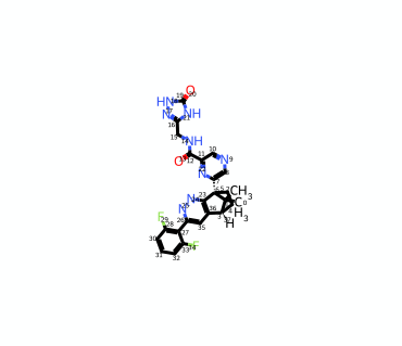 CC1(C)[C@H]2CC[C@]1(c1cncc(C(=O)NCc3n[nH]c(=O)[nH]3)n1)c1nnc(-c3c(F)cccc3F)cc12